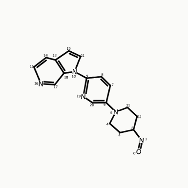 O=NC1CCN(c2ccc(-n3ccc4ccncc43)nc2)CC1